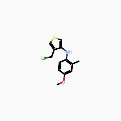 COc1ccc(Nc2cscc2CCl)c(C)c1